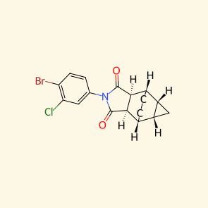 O=C1[C@@H]2[C@@H]3CC[C@@H]([C@@H]4C[C@@H]43)[C@@H]2C(=O)N1c1ccc(Br)c(Cl)c1